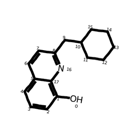 Oc1cccc2ccc(CC3CCCCC3)nc12